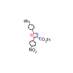 CCOC(=O)c1nc(-c2ccc(C(C)(C)C)cc2)oc1-c1ccc([N+](=O)[O-])cc1